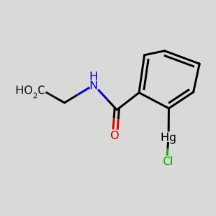 O=C(O)CNC(=O)c1cccc[c]1[Hg][Cl]